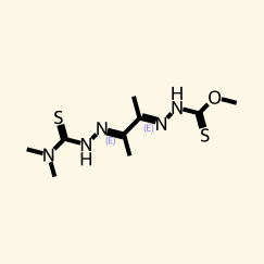 COC(=S)N/N=C(C)/C(C)=N/NC(=S)N(C)C